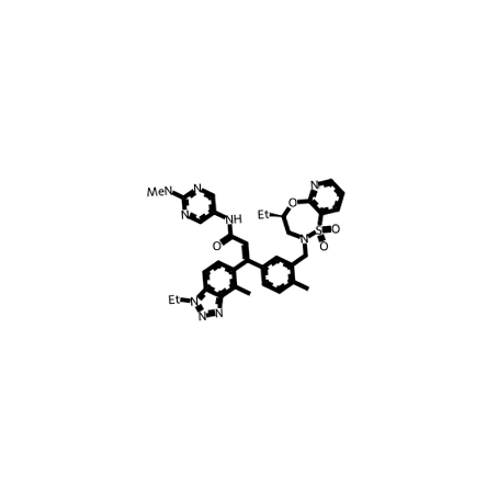 CC[C@@H]1CN(Cc2cc(C(=CC(=O)Nc3cnc(NC)nc3)c3ccc4c(nnn4CC)c3C)ccc2C)S(=O)(=O)c2cccnc2O1